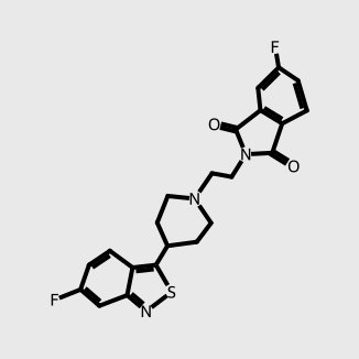 O=C1c2ccc(F)cc2C(=O)N1CCN1CCC(c2snc3cc(F)ccc23)CC1